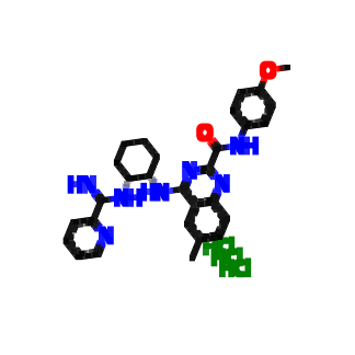 COc1ccc(NC(=O)c2nc(N[C@H]3CCCC[C@H]3NC(=N)c3ccccn3)c3cc(C)ccc3n2)cc1.Cl.Cl.Cl